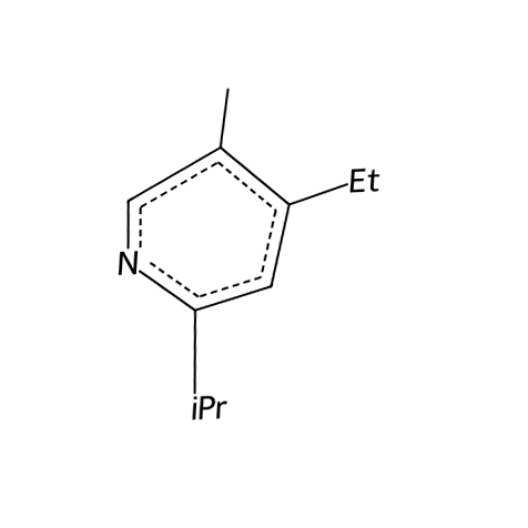 CCc1cc(C(C)C)ncc1C